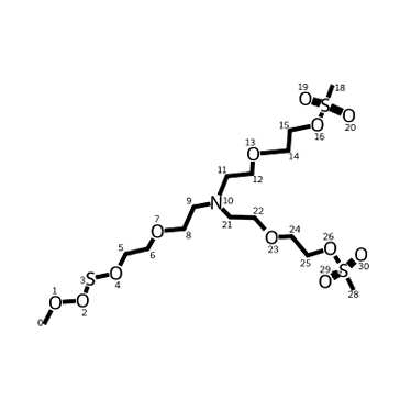 COOSOCCOCCN(CCOCCOS(C)(=O)=O)CCOCCOS(C)(=O)=O